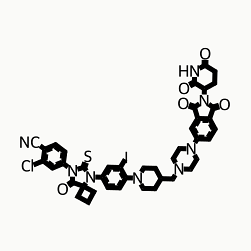 N#Cc1ccc(N2C(=O)C3(CCC3)N(c3ccc(N4CCC(CN5CCN(c6ccc7c(c6)C(=O)N(C6CCC(=O)NC6=O)C7=O)CC5)CC4)c(I)c3)C2=S)cc1Cl